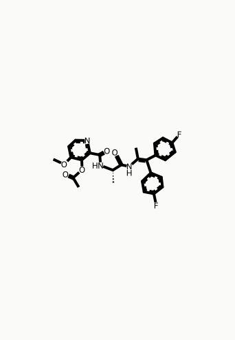 COc1ccnc(C(=O)N[C@@H](C)C(=O)NC(C)=C(c2ccc(F)cc2)c2ccc(F)cc2)c1OC(C)=O